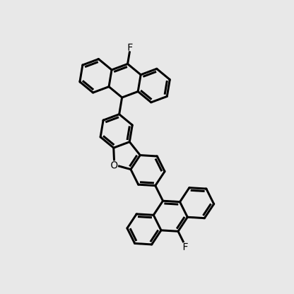 FC1=C2C=CC=CC2C(c2ccc3oc4cc(-c5c6ccccc6c(F)c6ccccc56)ccc4c3c2)c2ccccc21